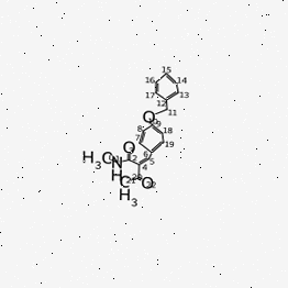 CNC(=O)C(=Cc1ccc(OCc2ccccc2)cc1)C(C)=O